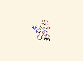 Nc1nc(-c2ccccc2C(=O)N2[C@H](CNC(=O)c3cccc4c3OCCO4)C[C@@H]3C[C@@H]32)cs1